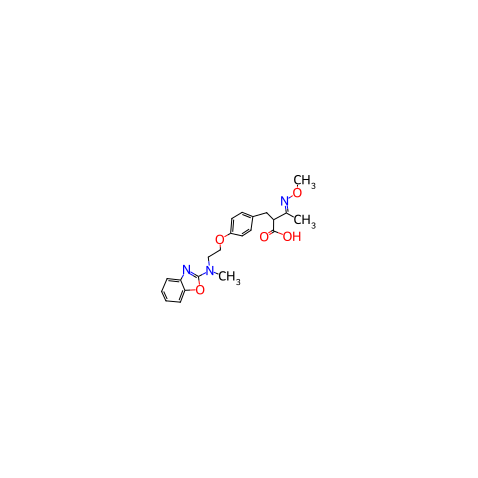 CON=C(C)C(Cc1ccc(OCCN(C)c2nc3ccccc3o2)cc1)C(=O)O